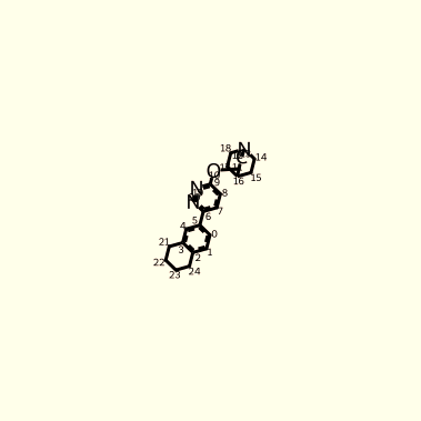 c1cc2c(cc1-c1ccc(OC3CN4CCC3CC4)nn1)CCCC2